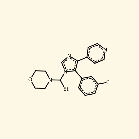 CCC(N1CCOCC1)n1cnc(-c2ccncc2)c1-c1cccc(Cl)c1